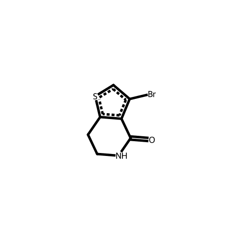 O=C1NCCc2scc(Br)c21